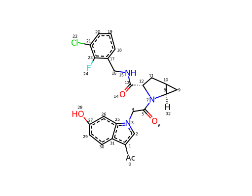 CC(=O)c1cn(CC(=O)N2[C@@H]3CC3C[C@H]2C(=O)NCc2cccc(Cl)c2F)c2cc(O)ccc12